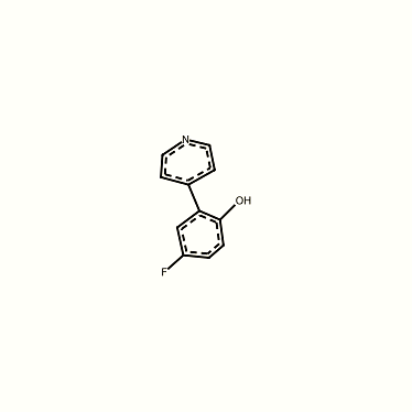 Oc1ccc(F)cc1-c1ccncc1